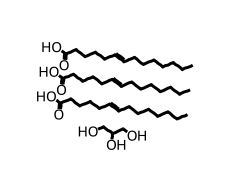 CCCCCCCC=CCCCCC(=O)O.CCCCCCCC=CCCCCC(=O)O.CCCCCCCC=CCCCCC(=O)O.OCC(O)CO